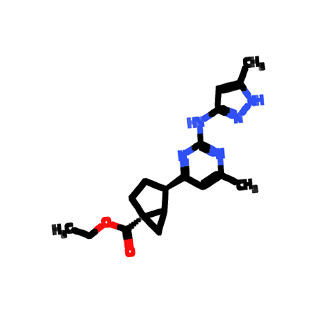 CCOC(=O)[C@]12CC[C@@H](c3cc(C)nc(Nc4cc(C)[nH]n4)n3)C1C2